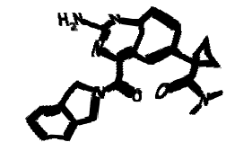 CN(C)C(=O)C1(c2ccc3nc(N)nc(C(=O)N4Cc5ccccc5C4)c3c2)CC1